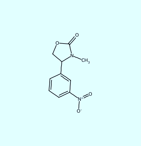 CN1C(=O)OCC1c1cccc([N+](=O)[O-])c1